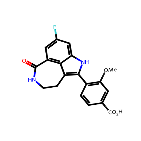 COc1cc(C(=O)O)ccc1-c1[nH]c2cc(F)cc3c2c1CCNC3=O